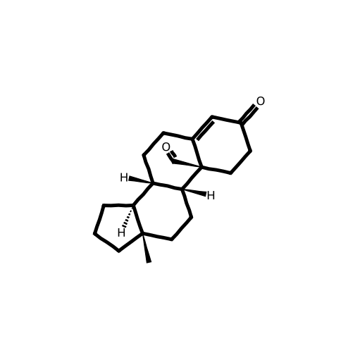 C[C@@]12CCC[C@H]1[C@@H]1CCC3=CC(=O)CC[C@]3(C=O)[C@@H]1CC2